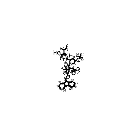 CCC(C)C(NC(=O)C1CC(OC(C)(C)C)CN1C(=O)C(CC(=O)OC)(NC(=O)OCC1c2ccccc2-c2ccccc21)C(C)(C)C)C(=O)O